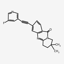 CC1(C)CCc2nc3cc(C#Cc4cncc(F)c4)ccc3c(=O)n2C1